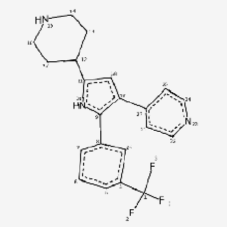 FC(F)(F)c1cccc(-c2[nH]c(C3CCNCC3)cc2-c2ccncc2)c1